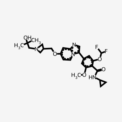 COc1cc(-c2cnc3cc(OCC4CN(CC(C)(C)O)C4)ccn23)cc(OC(F)F)c1C(=O)NC1CC1